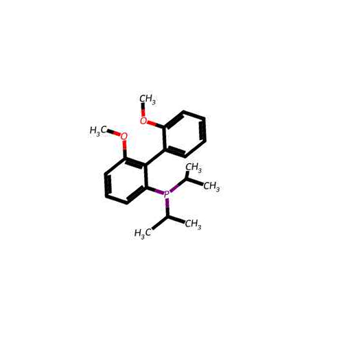 COc1ccccc1-c1c(OC)cccc1P(C(C)C)C(C)C